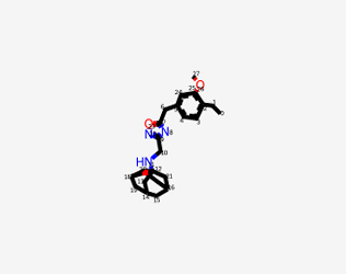 CCc1ccc(Cc2nc(CNC34CC5CC(CC(C5)C3)C4)no2)cc1OC